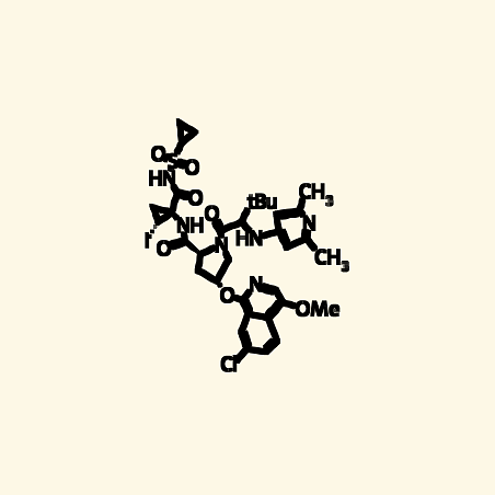 COc1cnc(O[C@@H]2C[C@@H](C(=O)N[C@]3(C(=O)NS(=O)(=O)C4CC4)C[C@H]3I)N(C(=O)C(Nc3cc(C)nc(C)c3)C(C)(C)C)C2)c2cc(Cl)ccc12